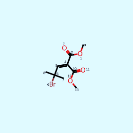 COC(=O)C(=CC(C)(C)Br)C(=O)OC